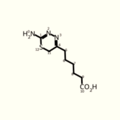 NC1=NN=C(CCCCCC(=O)O)CS1